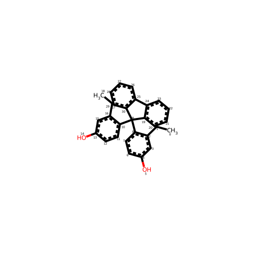 CCc1cc(O)ccc1C1(c2ccc(O)cc2CC)c2ccccc2-c2ccccc21